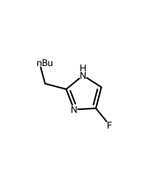 CCCCCc1nc(F)c[nH]1